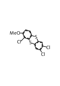 COc1ccc2c(c1Cl)Sc1cc(Cl)c(Cl)cc1S2